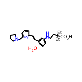 CCC(CC)(CCNc1cccc(C=Cc2cccc(CN3CCCC3)n2)c1)C(=O)O.O